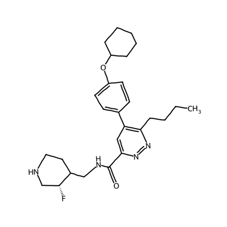 CCCCc1nnc(C(=O)NCC2CCNC[C@H]2F)cc1-c1ccc(OC2CCCCC2)cc1